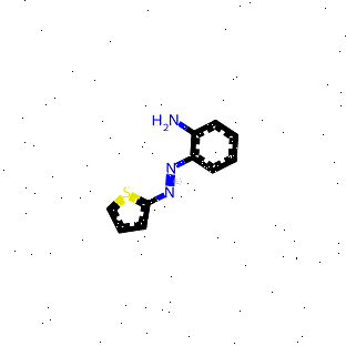 Nc1ccccc1/N=N/c1cccs1